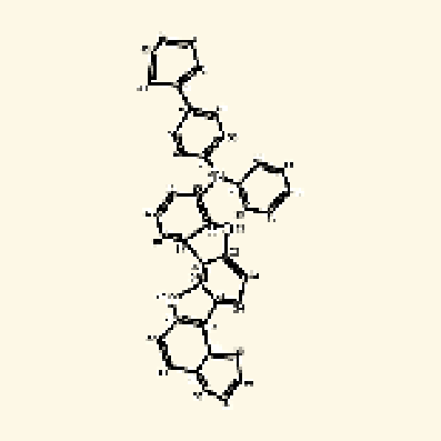 c1ccc(-c2ccc(N(c3ccccc3)c3cccc4c3oc3ccc5c(oc6ccc7ccccc7c65)c34)cc2)cc1